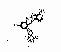 Nc1ncnc2c1ncn2Cc1c(Br)cc(Cl)cc1N1CCC(N)(C(=O)O)C1